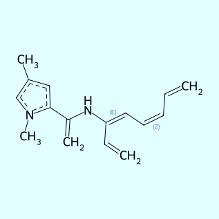 C=C/C=C\C=C(/C=C)NC(=C)c1cc(C)cn1C